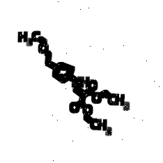 CCOCCc1ccc(NC=C(C(=O)OCC)C(=O)OCC)cc1